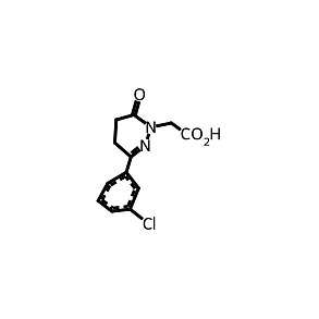 O=C(O)CN1N=C(c2cccc(Cl)c2)CCC1=O